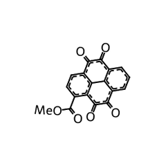 COC(=O)c1ccc2c3c1c(=O)c(=O)c1cccc(c1-3)c(=O)c2=O